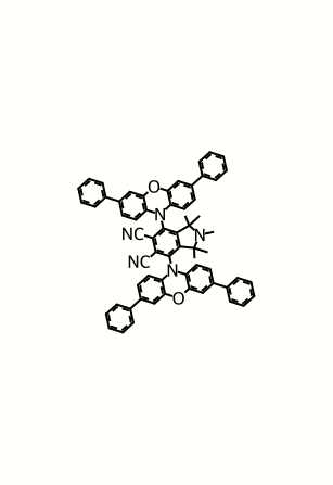 CN1C(C)(C)c2c(N3c4ccc(-c5ccccc5)cc4Oc4cc(-c5ccccc5)ccc43)c(C#N)c(C#N)c(N3c4ccc(-c5ccccc5)cc4Oc4cc(-c5ccccc5)ccc43)c2C1(C)C